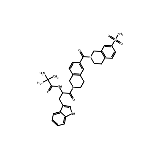 CC(C)(N)C(=O)NC(Cc1c[nH]c2ccccc12)C(=O)N1CCc2cc(C(=O)N3CCc4ccc(S(N)(=O)=O)cc4C3)ccc2C1